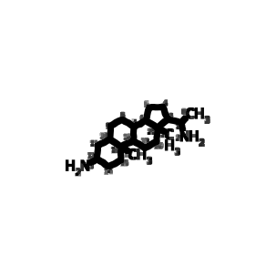 CC(N)C1CCC2C3CCC4CC(N)CCC4(C)C3CCC12C